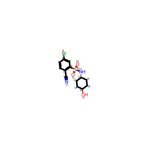 N#Cc1ccc(Br)cc1S(=O)(=O)N[C@H]1CC[C@H](O)CC1